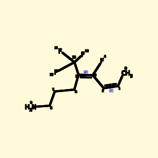 C/C=C\C(F)=C(/CCCN)C(F)(F)F